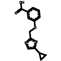 O=C(O)c1cccc(OCc2nc(C3CC3)cs2)c1